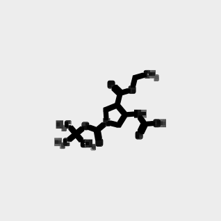 CCOC(=O)C1CN(C(=O)OC(C)(C)C)CC1NC(=O)O